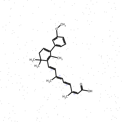 COc1cccc(C2=CCC(C)(C)C(/C=C/C(C)=C/C=C/C(C)=C\C(=O)O)=C2C)c1